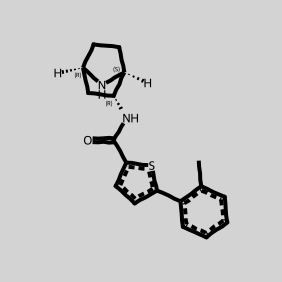 Cc1ccccc1-c1ccc(C(=O)N[C@@H]2C[C@H]3CC[C@@H]2N3)s1